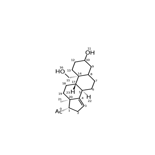 CC(=O)[C@H]1CC=C2[C@@H]3CCC4CC(O)CC[C@]4(CO)[C@H]3CC[C@@]21C